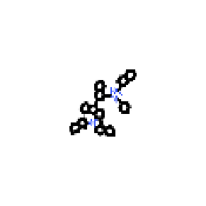 c1ccc(-c2nc(-c3ccc4ccccc4c3)nc(-c3cc(C4c5ccccc5-c5c4ccc4c6c7ccccc7ccc6n(-c6ccc7ccccc7c6)c54)cc4ccccc34)n2)cc1